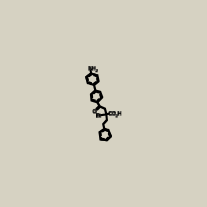 CCC(CCc1ccccc1)(CC(=O)c1ccc(-c2ccc(N)cc2)cc1)C(=O)O